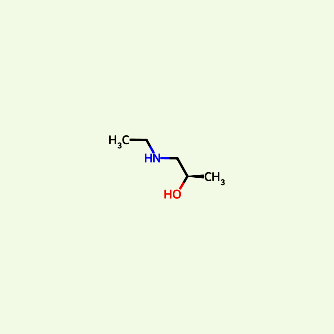 CCNC[C@@H](C)O